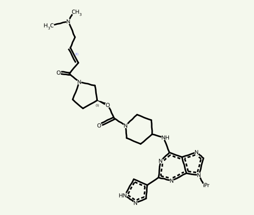 CC(C)n1cnc2c(NC3CCN(C(=O)O[C@H]4CCN(C(=O)/C=C/CN(C)C)C4)CC3)nc(-c3cn[nH]c3)nc21